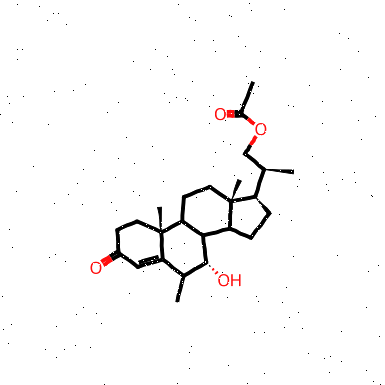 CC(=O)OC[C@@H](C)[C@H]1CCC2C3C(CC[C@@]21C)[C@@]1(C)CCC(=O)C=C1C(C)[C@H]3O